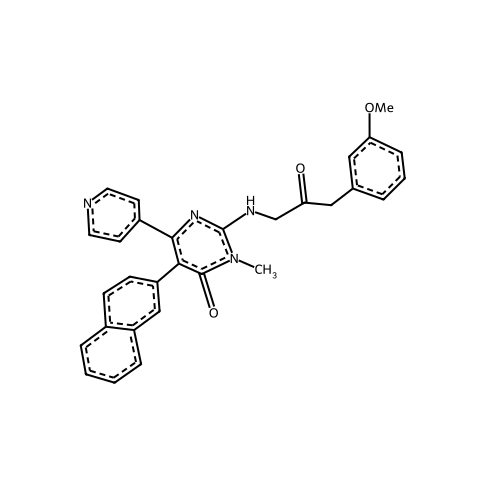 COc1cccc(CC(=O)CNc2nc(-c3ccncc3)c(-c3ccc4ccccc4c3)c(=O)n2C)c1